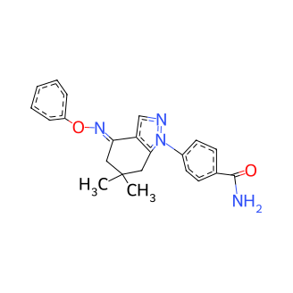 CC1(C)CC(=NOc2ccccc2)c2cnn(-c3ccc(C(N)=O)cc3)c2C1